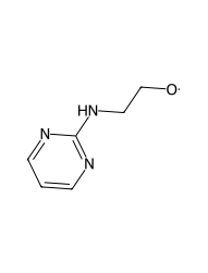 [O]CCNc1ncccn1